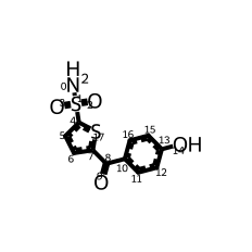 NS(=O)(=O)c1ccc(C(=O)c2ccc(O)cc2)s1